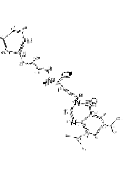 CC(C)c1cc(C(C)C)c2ncn(C=CC(=O)NCCCCc3ccccn3)c(=O)c2c1